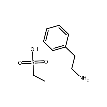 CCS(=O)(=O)O.NCCc1ccccc1